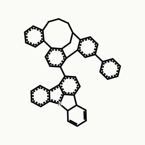 C1=CC2c3ccc(-c4ccc5c6c4-c4cc(-c7ccccc7)ccc4C(CCCc4ccccc4-5)C6)c4c5ccccc5n(c34)C2C=C1